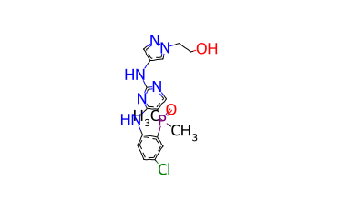 CP(C)(=O)c1cc(Cl)ccc1Nc1ccnc(Nc2cnn(CCO)c2)n1